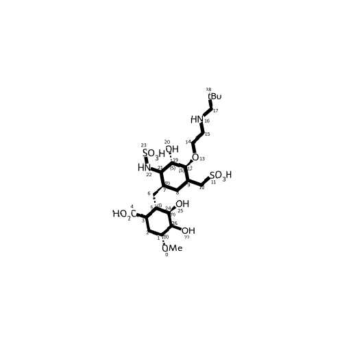 CO[C@@H]1CC(C(=O)O)[C@H](C[C@@H]2CC(CS(=O)(=O)O)[C@H](OCCNCC(C)(C)C)[C@@H](O)C2NS(=O)(=O)O)[C@@H](O)C1O